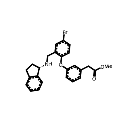 COC(=O)Cc1cccc(Oc2ccc(Br)cc2CN[C@H]2CCc3ccccc32)c1